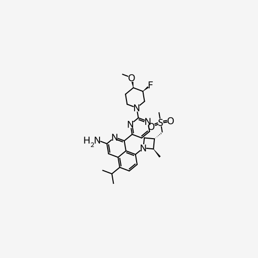 CO[C@@H]1CCN(c2nccc(-c3nc(N)cc4c(C(C)C)ccc(N5C[C@H](CS(C)(=O)=O)[C@H]5C)c34)n2)C[C@@H]1F